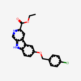 CCOC(=O)c1cc2c(cn1)[nH]c1ccc(OCc3ccc(Cl)cc3)cc12